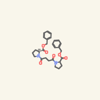 O=C(OCc1ccccc1)C1CCCN1C(=O)CCC(=O)N1CCC[C@@H]1C(=O)OCc1ccccc1